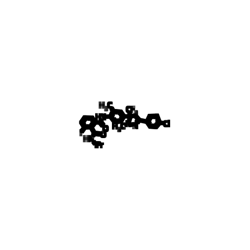 Cc1cc(C2(C(F)(F)F)CC(c3ccc(Cl)cc3)=NN2C)ccc1NC(=O)c1cccc(I)c1C(=O)NC(C)C